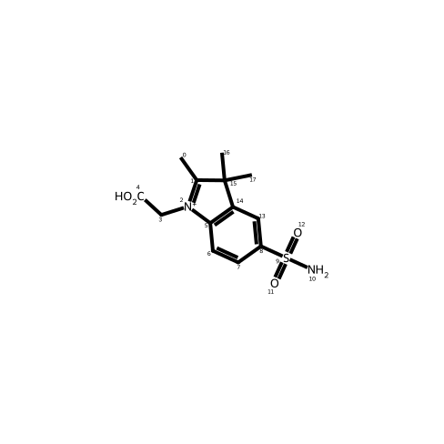 CC1=[N+](CC(=O)O)c2ccc(S(N)(=O)=O)cc2C1(C)C